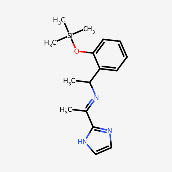 C/C(=N\C(C)c1ccccc1O[Si](C)(C)C)c1ncc[nH]1